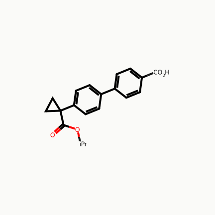 CC(C)OC(=O)C1(c2ccc(-c3ccc(C(=O)O)cc3)cc2)CC1